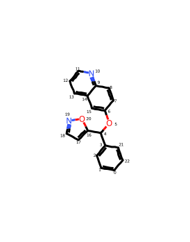 c1ccc(C(Oc2ccc3ncccc3c2)c2ccno2)cc1